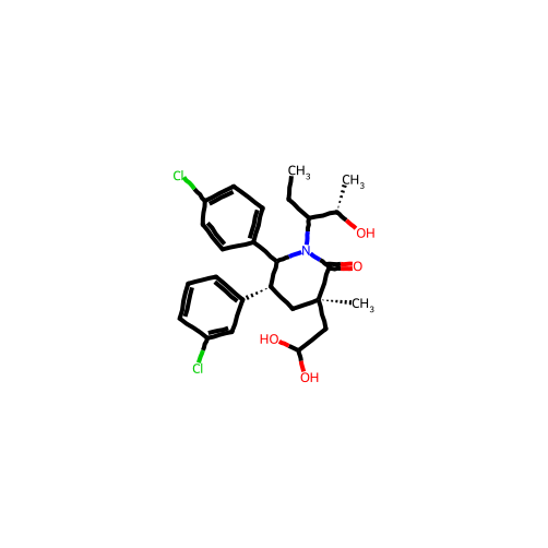 CCC([C@H](C)O)N1C(=O)[C@@](C)(CC(O)O)C[C@H](c2cccc(Cl)c2)C1c1ccc(Cl)cc1